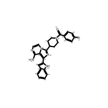 Nc1nccn2c(C3CCN(C(=O)c4ccc(Br)cc4)CC3)nc(-c3cc4ccccc4[nH]3)c12